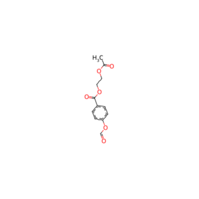 CC(=O)OCCOC(=O)c1ccc(OC=O)cc1